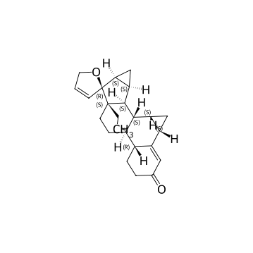 CC[C@]12CC[C@H]3[C@@H]([C@@H]4C[C@@H]4C4=CC(=O)CC[C@@H]43)[C@@H]1[C@@H]1C[C@@H]1[C@@]21C=CCO1